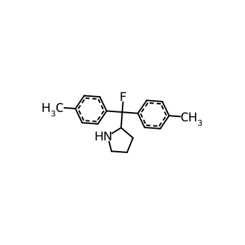 Cc1ccc(C(F)(c2ccc(C)cc2)C2CCCN2)cc1